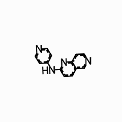 c1cc(Nc2ccc3cnccc3n2)ccn1